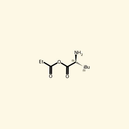 CCC(=O)OC(=O)[C@@H](N)[C@@H](C)CC